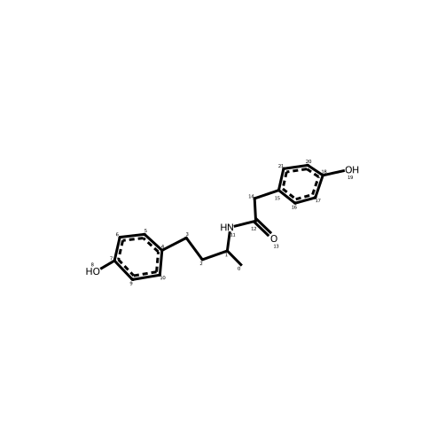 CC(CCc1ccc(O)cc1)NC(=O)Cc1ccc(O)cc1